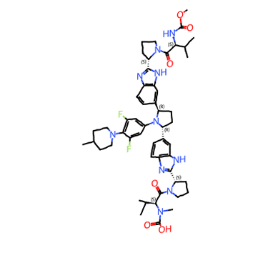 COC(=O)N[C@H](C(=O)N1CCC[C@H]1c1nc2ccc([C@H]3CC[C@H](c4ccc5nc([C@@H]6CCCN6C(=O)[C@H](C(C)C)N(C)C(=O)O)[nH]c5c4)N3c3cc(F)c(N4CCC(C)CC4)c(F)c3)cc2[nH]1)C(C)C